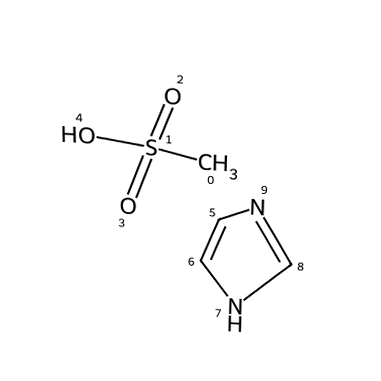 CS(=O)(=O)O.c1c[nH]cn1